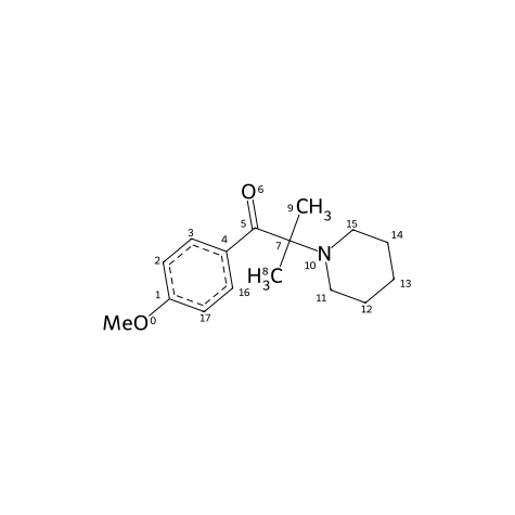 COc1ccc(C(=O)C(C)(C)N2CCCCC2)cc1